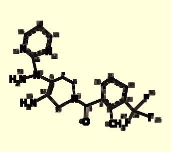 Cc1c(C(=O)N2CCC(N(N)c3ncccn3)=C(N)C2)cccc1C(F)(F)F